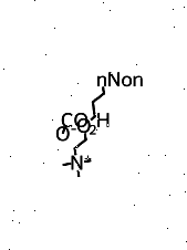 CCCCCCCCCCCCOCC[N+](C)(C)C.O=C([O-])O